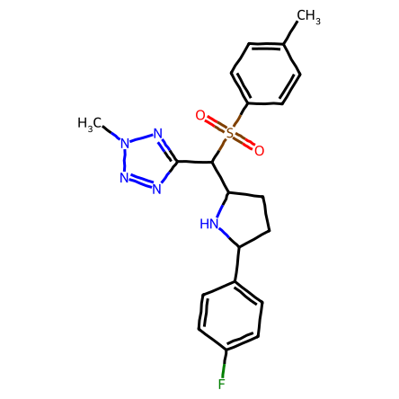 Cc1ccc(S(=O)(=O)C(c2nnn(C)n2)C2CCC(c3ccc(F)cc3)N2)cc1